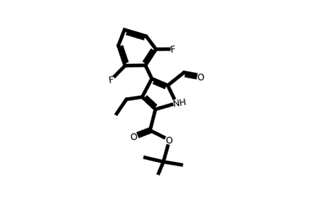 CCc1c(C(=O)OC(C)(C)C)[nH]c(C=O)c1-c1c(F)cccc1F